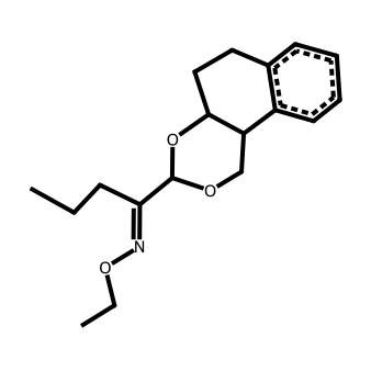 CCCC(=NOCC)C1OCC2c3ccccc3CCC2O1